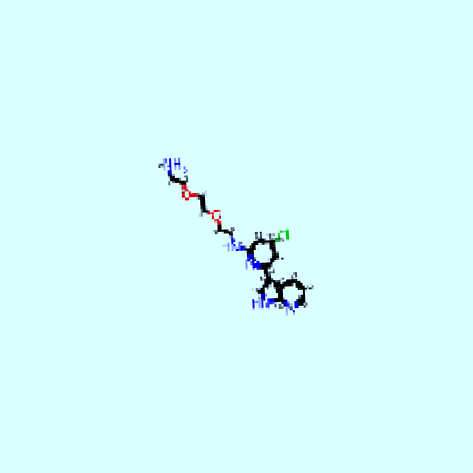 NCCOCCOCCNc1cc(Cl)cc(-c2c[nH]c3ncccc23)n1